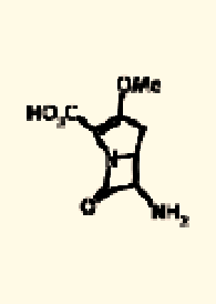 COC1=C(C(=O)O)N2C(=O)C(N)C2C1